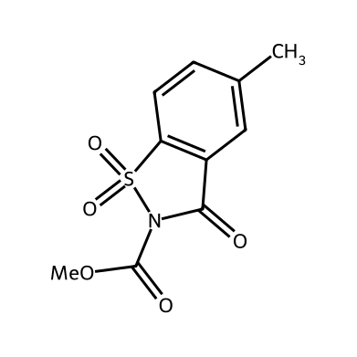 COC(=O)N1C(=O)c2cc(C)ccc2S1(=O)=O